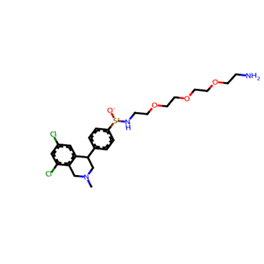 CN1Cc2c(Cl)cc(Cl)cc2C(c2ccc([S+]([O-])NCCOCCOCCOCCN)cc2)C1